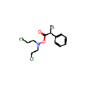 CCC(C(=O)ON(CCCl)CCCl)c1ccccc1